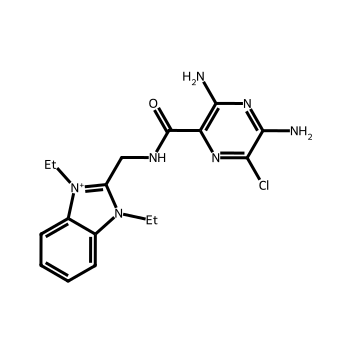 CCn1c(CNC(=O)c2nc(Cl)c(N)nc2N)[n+](CC)c2ccccc21